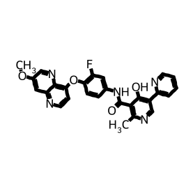 COc1cnc2c(Oc3ccc(NC(=O)c4c(C)ncc(-c5ccccn5)c4O)cc3F)ccnc2c1